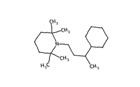 CC(CCN1C(C)(C)CCCC1(C)C)C1CCCCC1